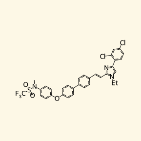 CCn1cc(-c2ccc(Cl)cc2Cl)nc1C=Cc1ccc(-c2ccc(Oc3ccc(N(C)S(=O)(=O)C(F)(F)F)cc3)cc2)cc1